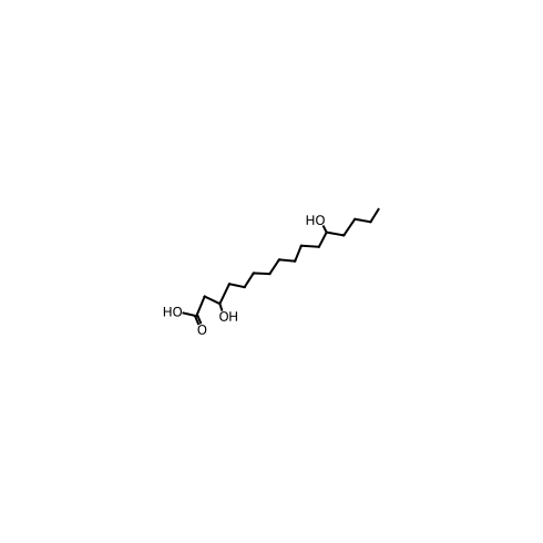 CCCCC(O)CCCCCCCCC(O)CC(=O)O